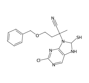 CC(C#N)(CCOCc1ccccc1)N1c2nc(Cl)ncc2NC1S